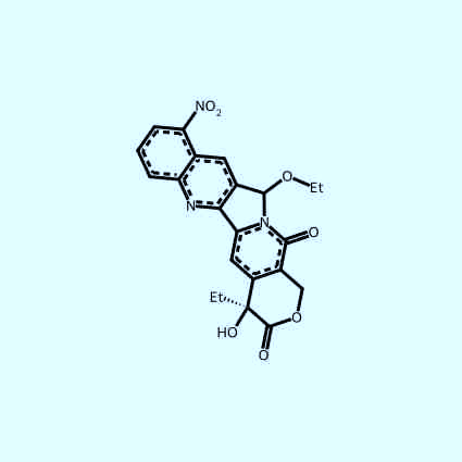 CCOC1c2cc3c([N+](=O)[O-])cccc3nc2-c2cc3c(c(=O)n21)COC(=O)[C@]3(O)CC